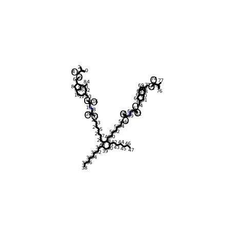 C=C(C)C(=O)OCC1CC2CCC(COC(=O)/C=C/C(=O)OCCCCCCCC3C(CCCCCCCC)CCC(CCCCCC)C3CCCCCCCOC(=O)/C=C/C(=O)OCC3CC4C5CC(COC(=O)C(=C)C)C(C5)C4C3)CC(C)C1C2